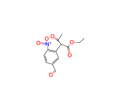 CCOC(=O)C(C(C)=O)c1cc(C=O)ccc1[N+](=O)[O-]